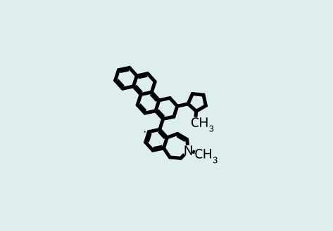 CC1CCCC1C1CC(c2[c]ccc3c2C=CN(C)CC3)=c2ccc3c(c2C1)CC=c1ccccc1=3